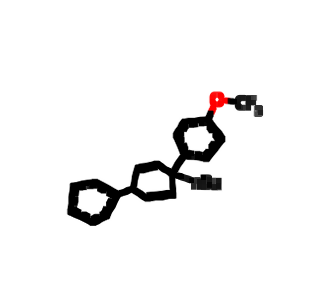 CCCCC1(c2ccc(OC(F)(F)F)cc2)C=CC(c2ccccc2)C=C1